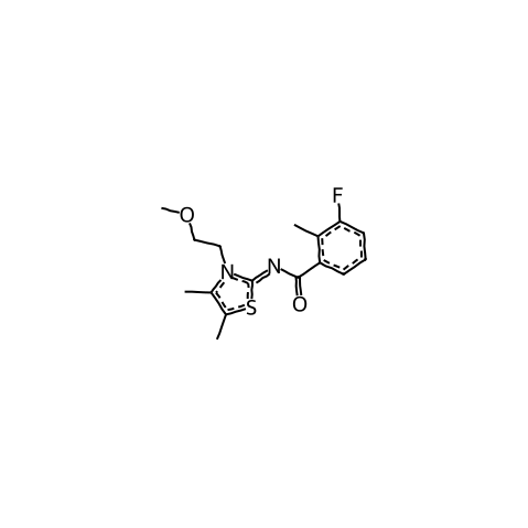 COCCn1c(C)c(C)s/c1=N\C(=O)c1cccc(F)c1C